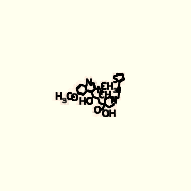 COc1ccc2ncc(N(C)C)c([C@@H](O)CCC3(C(=O)O)CCN(CC#Cc4cccs4)CC3)c2c1